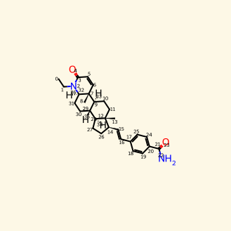 CCN1C(=O)C=C[C@]2(C)[C@H]3CC[C@]4(C)[C@@H](C=Cc5ccc(C(N)=O)cc5)CC[C@H]4[C@@H]3CC[C@@H]12